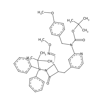 CON=C[C@@H]1C(Cc2ccnc(N(Cc3ccc(OC)cc3)C(=O)OC(C)(C)C)c2)C(=O)N1[Si](c1ccccc1)(c1ccccc1)C(C)(C)C